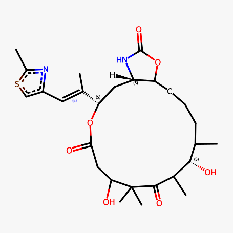 C/C(=C\c1csc(C)n1)[C@@H]1C[C@@H]2NC(=O)OC2CCCC(C)[C@H](O)C(C)C(=O)C(C)(C)C(O)CC(=O)O1